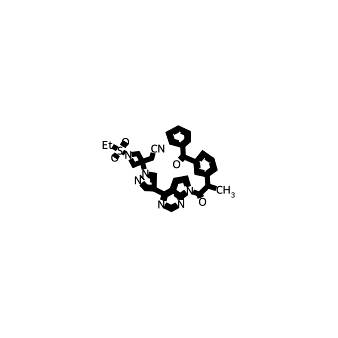 CCS(=O)(=O)N1CC(CC#N)(n2cc(-c3ncnc4c3ccn4C(=O)C(C)c3cccc(C(=O)c4ccccc4)c3)cn2)C1